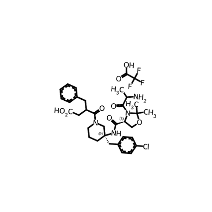 CC(N)C(=O)N1[C@H](C(=O)N[C@@]2(Cc3ccc(Cl)cc3)CCCN(C(=O)C(CC(=O)O)Cc3ccccc3)C2)COC1(C)C.O=C(O)C(F)(F)F